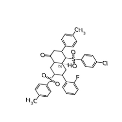 Cc1ccc(C2CC(=O)C3CC(S(=O)(=O)c4ccc(C)cc4)C(c4ccccc4F)C[C@@H]3C2S(=O)(=O)c2ccc(Cl)cc2)cc1